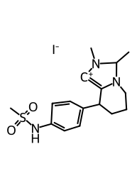 CC1N(C)[C+]=C2C(c3ccc(NS(C)(=O)=O)cc3)CCCN21.[I-]